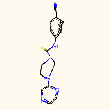 N#Cc1ccc(NC(=S)N2CCN(c3cnccn3)CC2)cc1